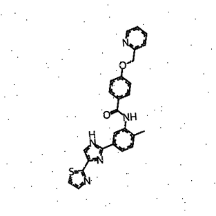 Cc1ccc(-c2nc(-c3nccs3)c[nH]2)cc1NC(=O)c1ccc(OCc2ccccn2)cc1